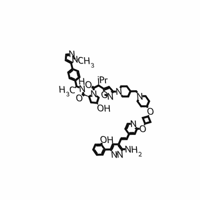 CC(C)[C@@H](C(=O)N1C[C@H](O)C[C@H]1C(=O)N[C@@H](C)c1ccc(-c2ccnn2C)cc1)c1cc(N2CCC(CN3CCC(O[C@H]4C[C@H](Oc5cc(/C=C/c6cc(-c7ccccc7O)nnc6N)ccn5)C4)CC3)CC2)no1